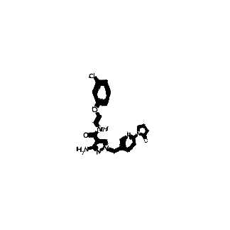 Nc1nn(Cc2ccc(N3CCCC3=O)nc2)cc1C(=O)NCCOc1cccc(Cl)c1